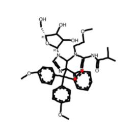 COCCN1C(NC(=O)C(C)C)=NC(=O)C2(C(c3ccccc3)(c3ccc(OC)cc3)c3ccc(OC)cc3)N=CN([C@@H]3O[C@H](CO)C(O)C3O)C12